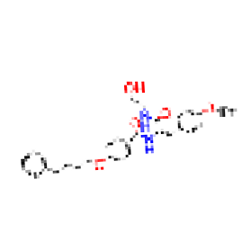 CC(C)Oc1ccc(/C=C(/NC(=O)c2ccc(OCCCCc3ccccc3)cc2)C(=O)NCCO)cc1